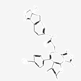 Cc1sc2c(c1C)C(c1ccc(Cl)cc1)=N[C@@H](CC(=O)Nc1ccc3c(c1)C[C@@H]1CON=C31)c1nnc(C)n1-2